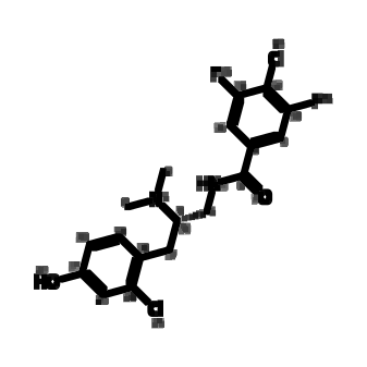 CN(C)[C@H](CNC(=O)c1cc(F)c(Cl)c(F)c1)Cc1ccc(O)cc1Cl